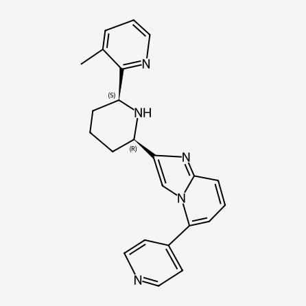 Cc1cccnc1[C@@H]1CCC[C@H](c2cn3c(-c4ccncc4)cccc3n2)N1